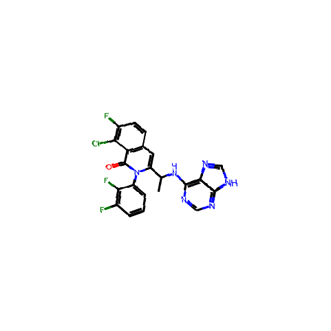 CC(Nc1ncnc2[nH]cnc12)c1cc2ccc(F)c(Cl)c2c(=O)n1-c1cccc(F)c1F